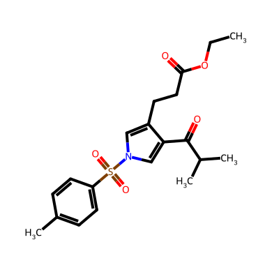 CCOC(=O)CCc1cn(S(=O)(=O)c2ccc(C)cc2)cc1C(=O)C(C)C